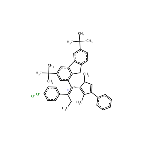 CC/[C](c1ccccc1)=[Zr+2](\[C]1=C(C)C(c2ccccc2)=CC1C)[c]1cc(C(C)(C)C)cc2c1Cc1ccc(C(C)(C)C)cc1-2.[Cl-].[Cl-]